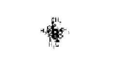 CCOC(=O)c1cc(OC)c(C(=O)OCC)c(C(F)(F)F)c1OC